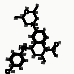 CC(=O)N1c2ccc(N3CC(C)OC(C)C3)cc2C(Nc2ccc(Cl)cc2)CC1C